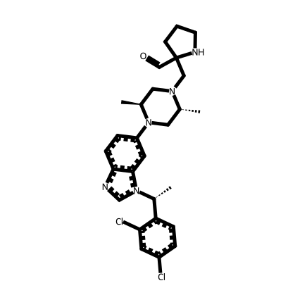 C[C@@H]1CN(c2ccc3ncn([C@H](C)c4ccc(Cl)cc4Cl)c3c2)[C@@H](C)CN1CC1(C=O)CCCN1